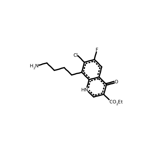 CCOC(=O)c1c[nH]c2c(CCCCN)c(Cl)c(F)cc2c1=O